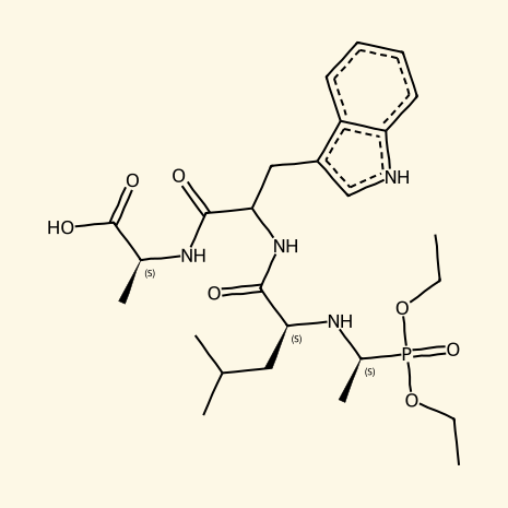 CCOP(=O)(OCC)[C@@H](C)N[C@@H](CC(C)C)C(=O)NC(Cc1c[nH]c2ccccc12)C(=O)N[C@@H](C)C(=O)O